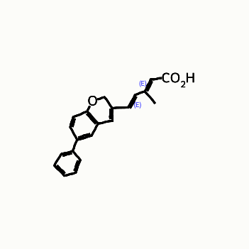 CC(/C=C/C1=Cc2cc(-c3ccccc3)ccc2OC1)=C\C(=O)O